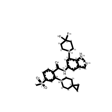 CS(=O)(=O)c1ccc(C(=O)Nc2cc(N3CCC(F)(F)CC3)c3[nH]ncc3c2)c(N2CCC3(CC2)CC3)c1